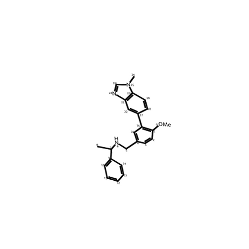 COc1ccc(CNC(C)c2ccccc2)cc1-c1ccc2c(c1)ncn2C